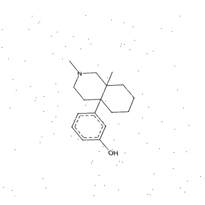 CN1CCC2(c3cccc(O)c3)CCCCC2(C)C1